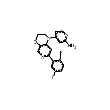 Nc1cc(N2CCOc3cnc(-c4cc(F)ccc4F)cc32)ccn1